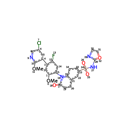 COc1cc(-c2cc(Cl)cnc2OC)c(F)cc1-n1c(=O)ccc2cc(S(=O)(=O)Nc3ncco3)ccc21